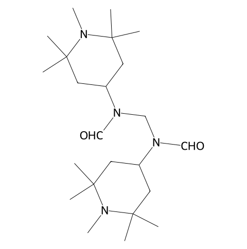 CN1C(C)(C)CC(N(C=O)CN(C=O)C2CC(C)(C)N(C)C(C)(C)C2)CC1(C)C